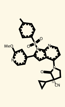 COc1cc(-c2cc3c(N4CC[C@@](C#N)(C5CC5)C4=O)ccnc3n2S(=O)(=O)c2ccc(C)cc2)ccn1